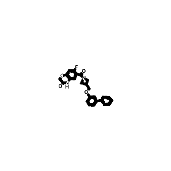 O=C1COc2cc(F)c(C(=O)N3CC(COc4cccc(-c5ccccc5)c4)C3)cc2N1